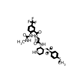 CNC(=O)Nc1ccc(C(F)(F)F)cc1C(=O)NCC(=O)N[C@H]1CNCC[C@H]1CS(=O)(=O)c1ccc(SC)cc1